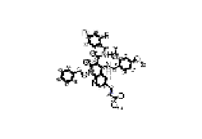 COC(=O)/C=C/c1cnc2c(c1)c(NCc1ccc(OC)cc1OC)c(C(=O)NCc1ccc(F)cc1F)c(=O)n2OCc1ccccc1